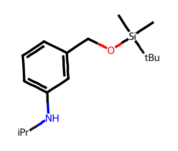 CC(C)Nc1cccc(CO[Si](C)(C)C(C)(C)C)c1